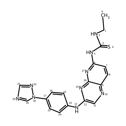 CCNC(=S)Nc1ccc2ncc(Nc3ccc(-n4cncn4)cc3)nc2n1